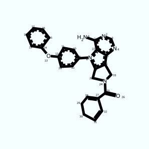 Nc1ncnc2c3c(n(-c4ccc(Oc5ccccc5)cc4)c12)CN(C(=O)C1=CCCC=C1)C3